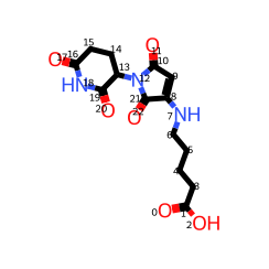 O=C(O)CCCCNC1=CC(=O)N(C2CCC(=O)NC2=O)C1=O